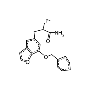 CC(C)C(Cc1cc(OCc2ccccc2)c2occc2c1)C(N)=O